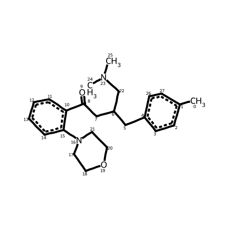 Cc1ccc(CC(CC(=O)c2ccccc2N2CCOCC2)CN(C)C)cc1